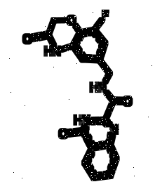 O=C1COc2c(F)cc(CNC(=O)c3nc4ccccc4c(=O)[nH]3)cc2N1